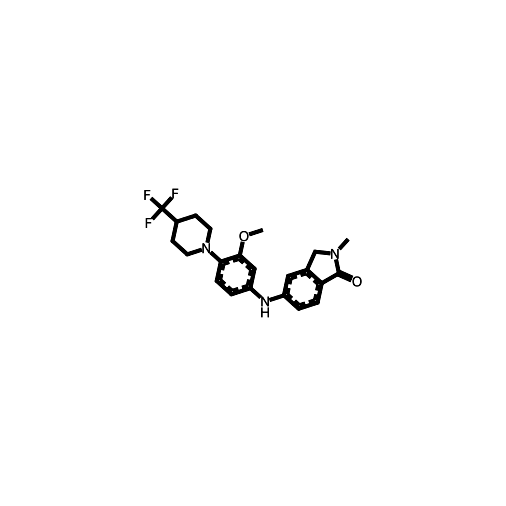 COc1cc(Nc2ccc3c(c2)CN(C)C3=O)ccc1N1CCC(C(F)(F)F)CC1